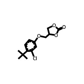 CC(C)(C)c1ccc(OCC2COC(=O)O2)cc1Cl